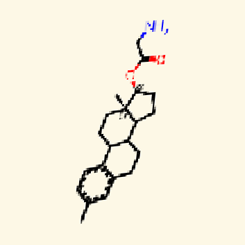 Cc1ccc2c(c1)CCC1C2CC[C@@]2(C)C1CC[C@@H]2OC(=O)CN